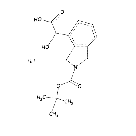 CC(C)(C)OC(=O)N1Cc2cccc(C(O)C(=O)O)c2C1.[LiH]